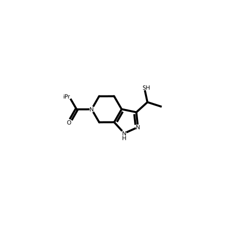 CC(C)C(=O)N1CCc2c(C(C)S)n[nH]c2C1